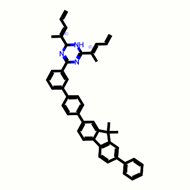 C=C/C=C(\C)C1=NC(c2cccc(-c3ccc(-c4ccc5c(c4)C(C)(C)c4cc(-c6ccccc6)ccc4-5)cc3)c2)=NC(/C(C)=C/C=C)N1